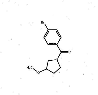 COC1CCN(C(=O)c2ccc(Br)cc2)C1